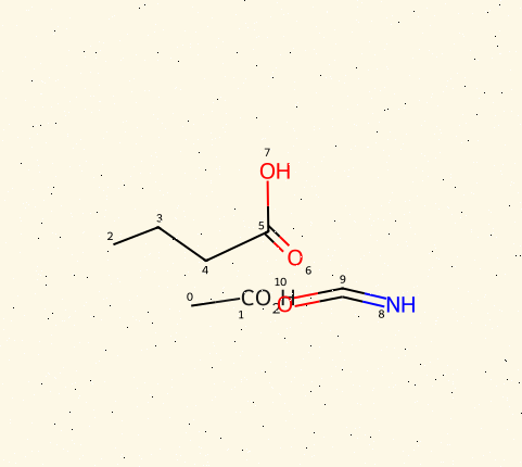 CC(=O)O.CCCC(=O)O.N=C=O